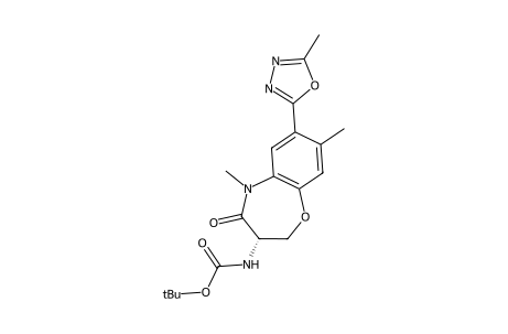 Cc1nnc(-c2cc3c(cc2C)OC[C@H](NC(=O)OC(C)(C)C)C(=O)N3C)o1